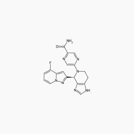 NC(=O)c1cnc(N2CCc3[nH]cnc3[C@H]2c2cc3c(F)cccn3n2)cn1